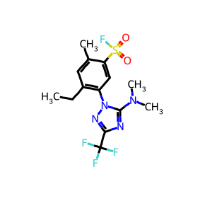 CCc1cc(C)c(S(=O)(=O)F)cc1-n1nc(C(F)(F)F)nc1N(C)C